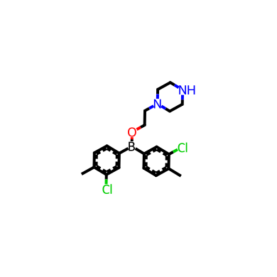 Cc1ccc(B(OCCN2CCNCC2)c2ccc(C)c(Cl)c2)cc1Cl